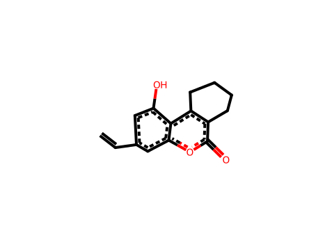 C=Cc1cc(O)c2c3c(c(=O)oc2c1)CCCC3